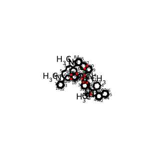 CN1/C(=C/C=C/C2=[N+](C)c3ccccc3C2(Cc2ccc(CC3(Cc4ccc([N+](=O)[O-])cc4)C(/C=C/C=C4/N(C)c5ccc6ccccc6c5C45CCCCC5)=[N+](C)c4ccccc43)cc2)Cc2ccc([N+](=O)[O-])cc2)C2(CCCCC2)c2c1ccc1ccccc21